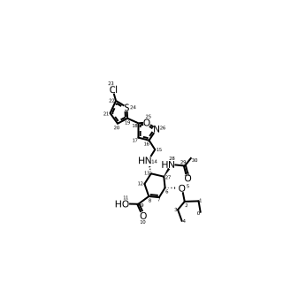 CCC(CC)O[C@@H]1C=C(C(=O)O)C[C@H](NCc2cc(-c3ccc(Cl)s3)on2)[C@H]1NC(C)=O